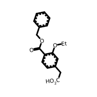 CCOc1cc(CC(=O)O)ccc1C(=O)OCc1ccccc1